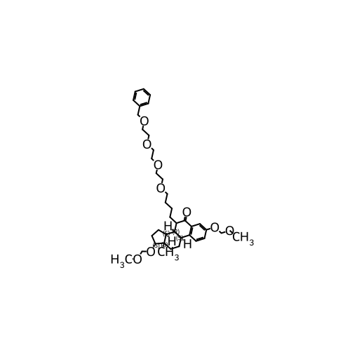 COCOc1ccc2c(c1)C(=O)C(CCCCOCCOCCOCCOCc1ccccc1)[C@@H]1[C@@H]2CC[C@]2(C)[C@@H](OCOC)CC[C@@H]12